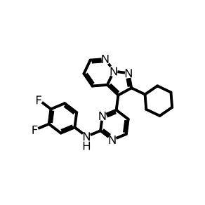 Fc1ccc(Nc2nccc(-c3c(C4CCCCC4)nn4ncccc34)n2)cc1F